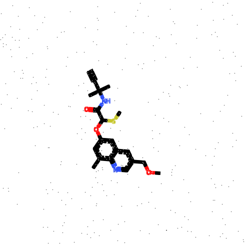 C#CC(C)(C)NC(=O)C(Oc1cc(C)c2ncc(COC)cc2c1)SC